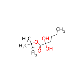 CCCCC(O)(O)C(=O)OC(C)(C)C